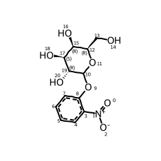 O=[N+]([O-])c1ccccc1OC1O[C@H](CO)[C@H](O)[C@H](O)[C@H]1O